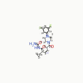 C[C@@H]1CN(C(=O)C/C=C\C(C(=O)NC(N)=O)C2CC2)CCN1c1cc(F)cc(F)c1